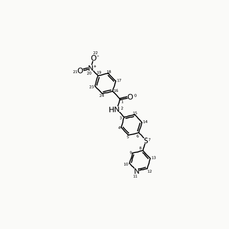 O=C(Nc1ccc(Sc2ccncc2)cc1)c1ccc([N+](=O)[O-])cc1